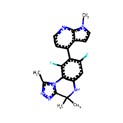 Cc1nnc2n1-c1c(cc(F)c(-c3ccnc4c3ccn4C)c1F)NC2(C)C